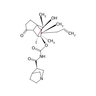 C=CC[C@]1(C)C[C@@H](OC(=O)NC(=O)[C@H]2CN3CCC2C3)[C@@]2(I)C3C(=O)CCC3(CC[C@H]2C)[C@@H](C)[C@@H]1O